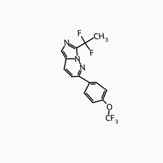 CC(F)(F)c1ncc2ccc(-c3ccc(OC(F)(F)F)cc3)nn12